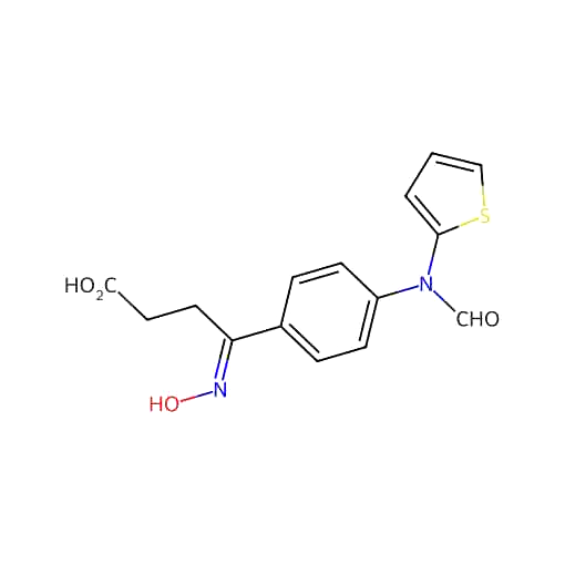 O=CN(c1ccc(C(CCC(=O)O)=NO)cc1)c1cccs1